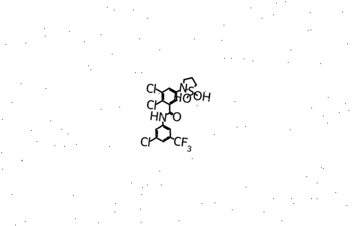 O=C(Nc1cc(Cl)cc(C(F)(F)F)c1)c1cc(N2CCCS2(O)O)cc(Cl)c1Cl